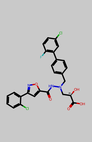 O=C(NN(Cc1ccc(-c2cc(Cl)ccc2F)cc1)C[C@@H](O)C(=O)O)c1cc(-c2ccccc2Cl)no1